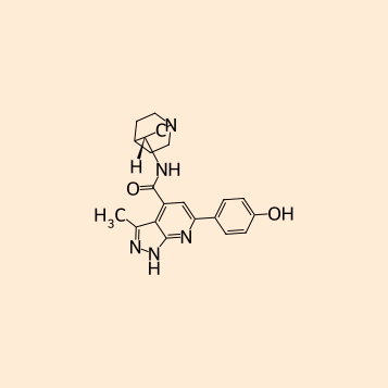 Cc1n[nH]c2nc(-c3ccc(O)cc3)cc(C(=O)N[C@H]3CN4CCC3CC4)c12